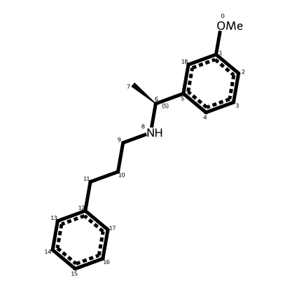 COc1cccc([C@H](C)NCCCc2ccccc2)c1